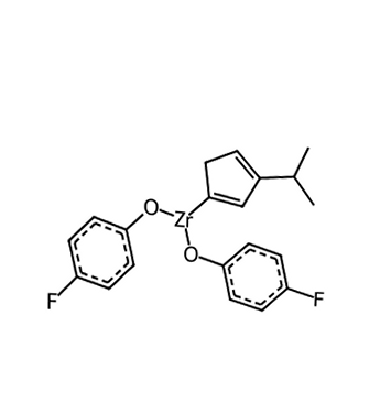 CC(C)C1=CC[C]([Zr]([O]c2ccc(F)cc2)[O]c2ccc(F)cc2)=C1